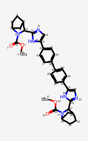 CC(C)(C)OC(=O)N1C2CCC(C2)C1c1ncc(-c2ccc(-c3ccc(-c4cnc(C5C6CCC(C6)N5C(=O)OC(C)(C)C)[nH]4)cc3)cc2)[nH]1